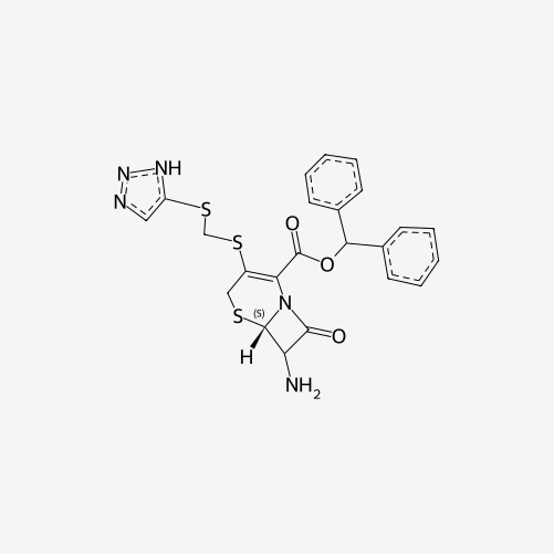 NC1C(=O)N2C(C(=O)OC(c3ccccc3)c3ccccc3)=C(SCSc3cnn[nH]3)CS[C@@H]12